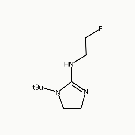 CC(C)(C)N1CCN=C1NCCF